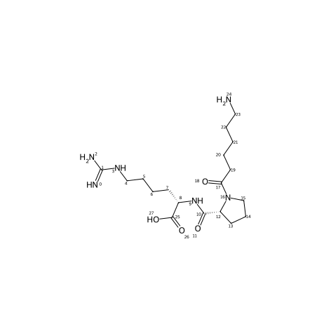 N=C(N)NCCCC[C@H](NC(=O)[C@H]1CCCN1C(=O)CCCCCN)C(=O)O